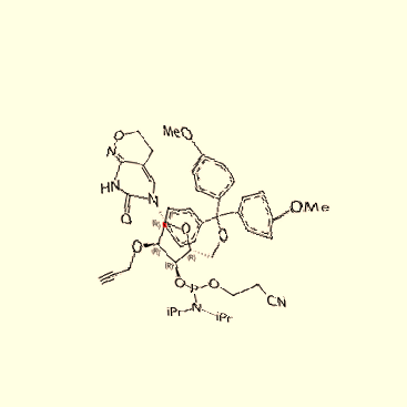 C#CCO[C@@H]1[C@H](OP(OCCC#N)N(C(C)C)C(C)C)[C@@H](COC(c2ccccc2)(c2ccc(OC)cc2)c2ccc(OC)cc2)O[C@H]1N1C=C2CCON=C2NC1=O